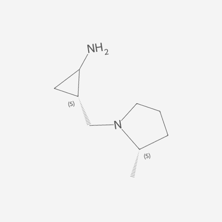 C[C@H]1CCCN1C[C@@H]1CC1N